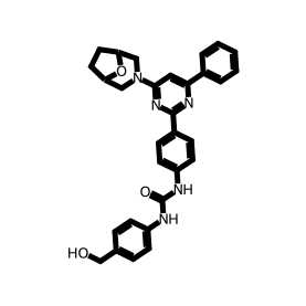 O=C(Nc1ccc(CO)cc1)Nc1ccc(-c2nc(-c3ccccc3)cc(N3CC4CCC(C3)O4)n2)cc1